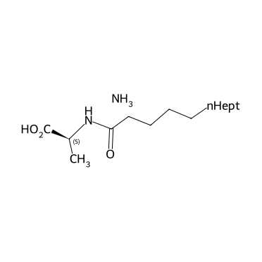 CCCCCCCCCCCC(=O)N[C@@H](C)C(=O)O.N